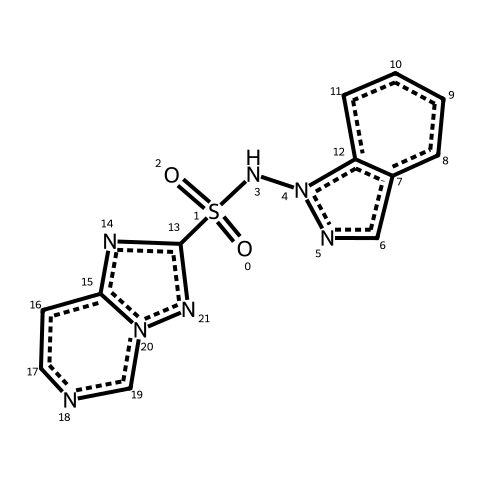 O=S(=O)(Nn1ncc2ccccc21)c1nc2ccncn2n1